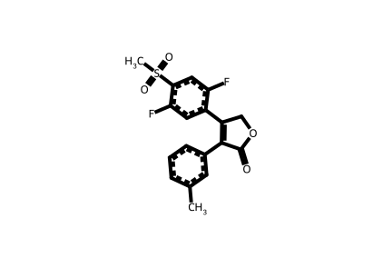 Cc1cccc(C2=C(c3cc(F)c(S(C)(=O)=O)cc3F)COC2=O)c1